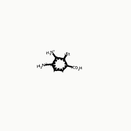 CCc1c(C(=O)O)ccc(N)c1N